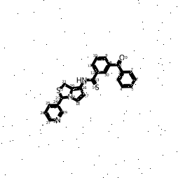 O=C(c1ccccc1)c1cccc(C(=S)Nc2ccn3c2CSC3c2cccnc2)c1